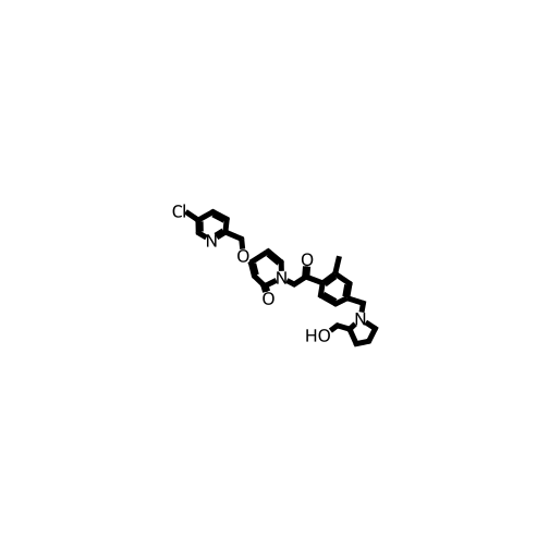 Cc1cc(CN2CCCC2CO)ccc1C(=O)Cn1ccc(OCc2ccc(Cl)cn2)cc1=O